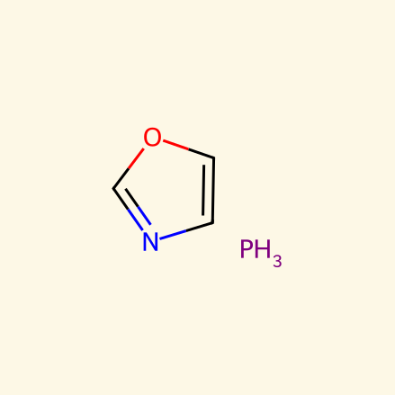 P.c1cocn1